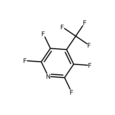 Fc1nc(F)c(F)c(C(F)(F)F)c1F